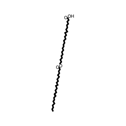 CCCCCCCCC=CCCCCCCCCCCCCCC(=O)OCCCCCCCCCCCCCCCCCCCCCCCCC(=O)O